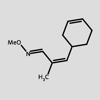 CON=CC(C)=CC1CC=CCC1